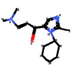 Cc1ncc(C(=O)/C=C/N(C)C)n1C1CCCCC1